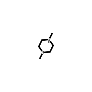 CN1CC[SH](C)CC1